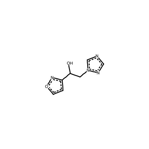 OC(Cn1cncn1)c1ccon1